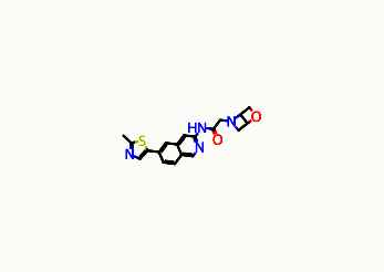 Cc1ncc(-c2ccc3cnc(NC(=O)CN4CC5OCC54)cc3c2)s1